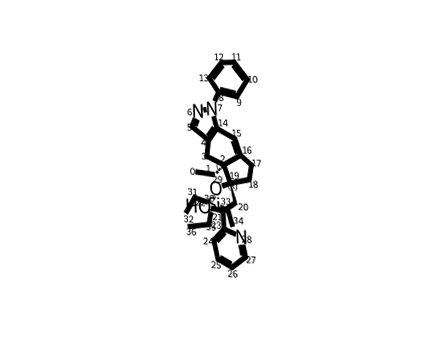 CC[C@]12Cc3cnn(-c4ccccc4)c3C=C1CC[C@]2(CC(O)c1ccccn1)O[Si](CC)(CC)CC